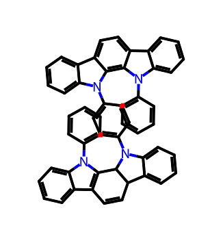 C1=CC2c3ccccc3N(c3ccc(-n4c5ccccc5c5ccc6c7ccccc7n(-c7ccccc7)c6c54)cc3)C2c2c1c1ccccc1n2-c1ccccc1